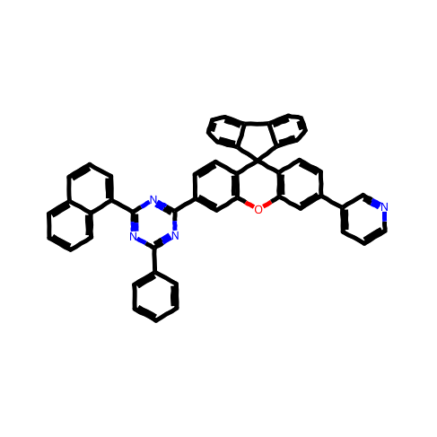 c1ccc(-c2nc(-c3ccc4c(c3)Oc3cc(-c5cccnc5)ccc3C43c4ccccc4-c4ccccc43)nc(-c3cccc4ccccc34)n2)cc1